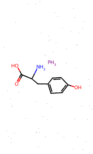 NC(Cc1ccc(O)cc1)C(=O)O.P